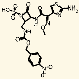 CON=C(C(=O)NC1C(=O)N(S(=O)(=O)O)C1CNC(=O)OCc1ccc([N+](=O)[O-])cc1)c1csc(N)n1